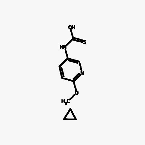 C1CC1.COc1ccc(NC(O)=S)cn1